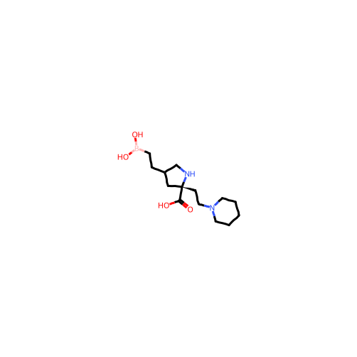 O=C(O)[C@]1(CCN2CCCCC2)CC(CCB(O)O)CN1